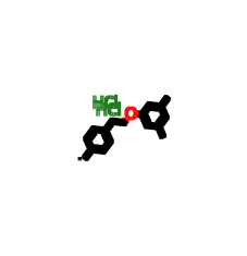 Cl.Cl.[CH2]c1ccc(CCOc2cc(C)cc(C)c2)cc1